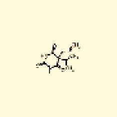 C=CCC1(C(C)C)C(=O)NC(=S)NC1=O